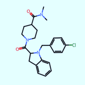 CN(C)C(=O)C1CCN(C(=O)C2Cc3ccccc3N2Cc2ccc(Cl)cc2)CC1